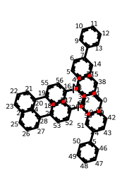 C1=CC(N(c2ccc(-c3ccccc3)cc2)c2ccc(-c3cccc4cccc(-c5ccc(N(c6ccccc6)c6cccc(-c7ccccc7)c6)cc5)c34)cc2)=CCC1